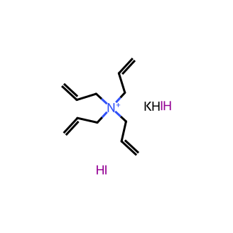 C=CC[N+](CC=C)(CC=C)CC=C.I.I.[KH]